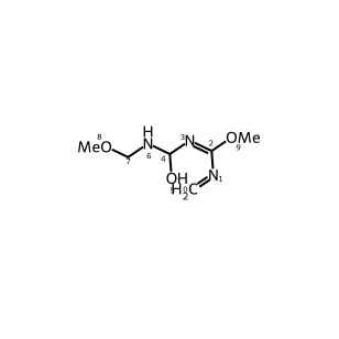 C=N/C(=N\C(O)NCOC)OC